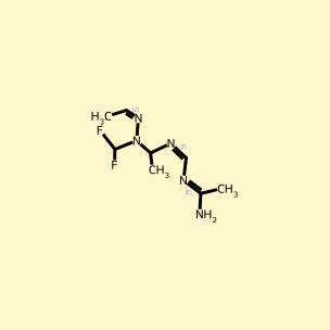 C/C=N\N(C(F)F)C(C)/N=C\N=C(/C)N